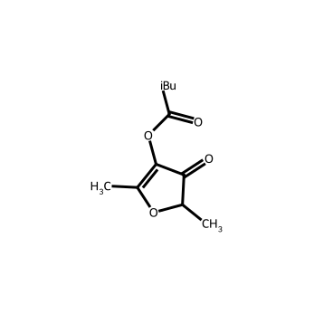 CCC(C)C(=O)OC1=C(C)OC(C)C1=O